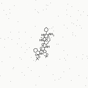 CCCCC(NC(=O)C1C[C@@H](OC(C)(C)C)CN1C(=O)[C@@H](NC(=O)OC(C)(C)C)C1CCCCC1)C(=O)C(=O)N[C@@H](C)C(=O)N[C@H](C(N)=O)C1CCCCC1